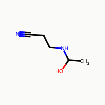 CC(O)NCCC#N